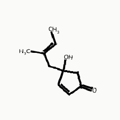 CC=C(C)CC1(O)C=CC(=O)C1